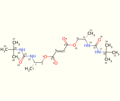 C[C@@H](COC(=O)/C=C/C(=O)OC[C@H](C)NC(=O)NC(C)(C)C)NC(=O)NC(C)(C)C